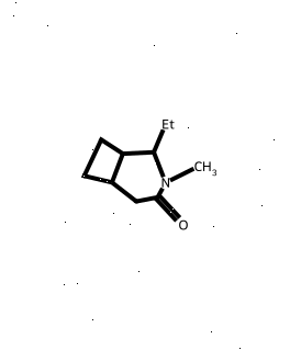 CCC1C2CCC2CC(=O)N1C